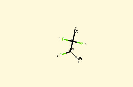 [CH2]CC(F)(F)[C@@H](F)CCC